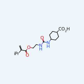 C=C(C(=O)OCCNC(=O)NC1CCC(C(=O)O)CC1)C(C)C